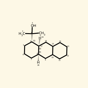 CC(C)(O)[C@H]1CCC[C@@H]2CC3CCCCC3C[C@@H]21